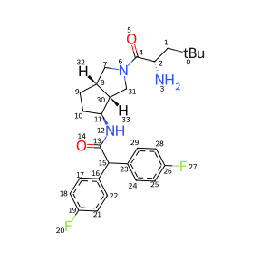 CC(C)(C)C[C@H](N)C(=O)N1C[C@H]2CC[C@H](NC(=O)C(c3ccc(F)cc3)c3ccc(F)cc3)[C@H]2C1